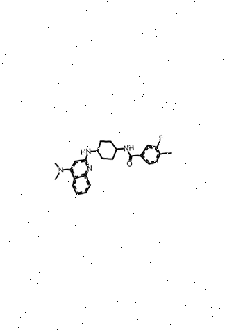 Cc1ccc(C(=O)NC2CCC(Nc3cc(N(C)C)c4ccccc4n3)CC2)cc1F